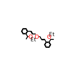 CCOC(C)c1ccccc1/C=C/COC/C=C/c1ccccc1C(C)OCC